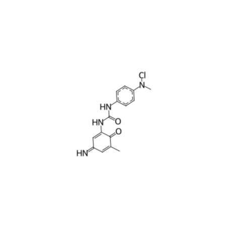 CC1=CC(=N)C=C(NC(=O)Nc2ccc(N(C)Cl)cc2)C1=O